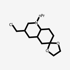 CCCN1CC(CCl)CC2CC3(CCC21)OCCO3